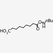 CCCCNOC(=O)CCCCCCCC(=O)O